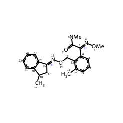 CNC(=O)/C(=N/OC)c1cccc(C)c1CO/N=C1\CC(C)c2ccccc21